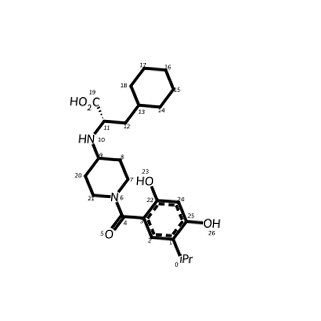 CC(C)c1cc(C(=O)N2CCC(N[C@@H](CC3CCCCC3)C(=O)O)CC2)c(O)cc1O